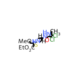 CCOC(=O)c1sc(N2C[C@@H]3C(NC(=O)c4[nH]c(C)c(Cl)c4Cl)[C@@H]3C2)nc1COC